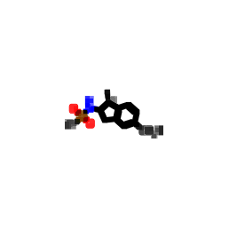 CC(C)S(=O)(=O)NC1Cc2cc(C(=O)O)ccc2[C@@H]1C